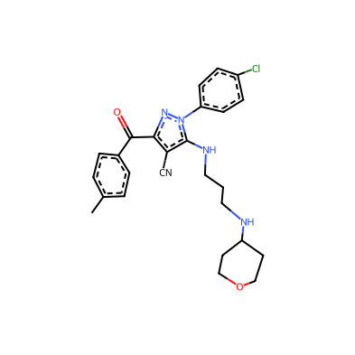 Cc1ccc(C(=O)c2nn(-c3ccc(Cl)cc3)c(NCCCNC3CCOCC3)c2C#N)cc1